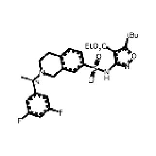 CCOC(=O)c1c(NS(=O)(=O)c2ccc3c(c2)CN([C@H](C)c2cc(F)cc(F)c2)CC3)noc1C(C)(C)C